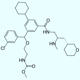 CNC(CNC(=O)c1cc(C2CCCCC2)cc(C(OCCNC(=O)OC)c2cccc(Cl)c2)c1)C[C@H]1CCCOC1